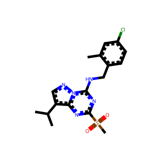 Cc1cc(Cl)ccc1CNc1nc(S(C)(=O)=O)nc2c(C(C)C)cnn12